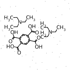 CCN(CC)CC.CCN(CC)CC.O=C(O)c1cc(C(=O)O)c(C(=O)O)cc1C(=O)O